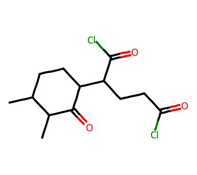 CC1CCC(C(CCC(=O)Cl)C(=O)Cl)C(=O)C1C